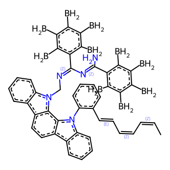 Bc1c(B)c(B)c(/C(N)=N/C(=N\Cn2c3ccccc3c3ccc4c5ccccc5n(-c5ccccc5/C=C/C=C\C=C/C)c4c32)c2c(B)c(B)c(B)c(B)c2B)c(B)c1B